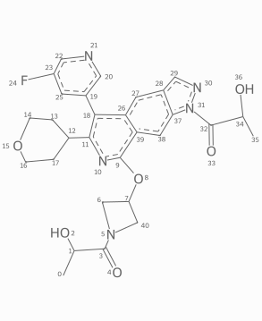 CC(O)C(=O)N1CC(Oc2nc(C3CCOCC3)c(-c3cncc(F)c3)c3cc4cnn(C(=O)C(C)O)c4cc23)C1